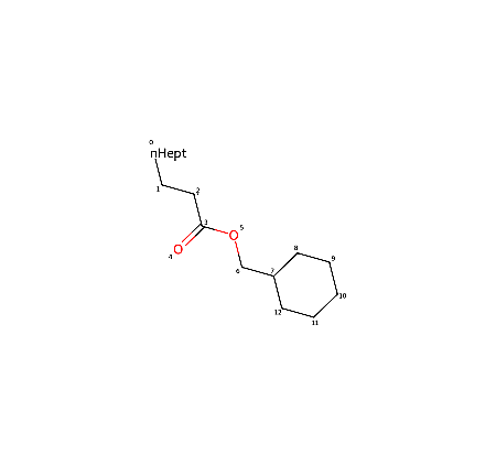 CCCCCCCC[CH]C(=O)OCC1CCCCC1